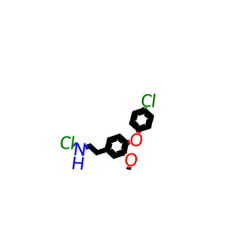 COc1cc(CCNCl)ccc1Oc1ccc(Cl)cc1